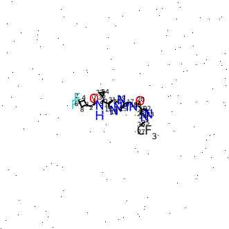 O=C(CC1CC(F)(F)C1)NC(c1cnn2cc(CNC(=O)c3cnn(CCC(F)(F)F)c3)nc2c1)C1CC1